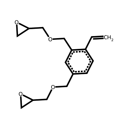 C=Cc1ccc(COCC2CO2)cc1COCC1CO1